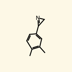 Cc1ccc(C2=NC2)cc1C